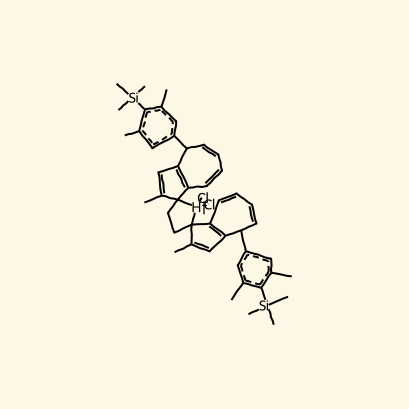 CC1=CC2=C(C=CC=CC2c2cc(C)c([Si](C)(C)C)c(C)c2)[C]12CC[C]1(C(C)=CC3=C1C=CC=CC3c1cc(C)c([Si](C)(C)C)c(C)c1)[Hf]2([Cl])[Cl]